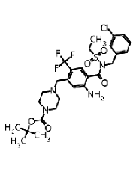 CCS(=O)(=O)N(Cc1cccc(Cl)c1)C(=O)c1cc(C(F)(F)F)c(CN2CCN(C(=O)OC(C)(C)C)CC2)cc1N